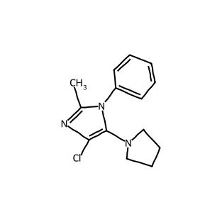 Cc1nc(Cl)c(N2CCCC2)n1-c1ccccc1